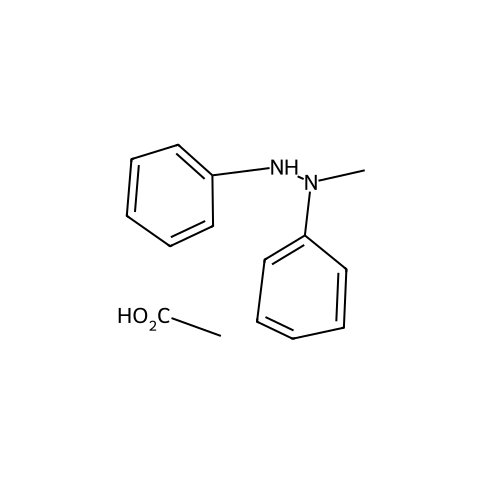 CC(=O)O.CN(Nc1ccccc1)c1ccccc1